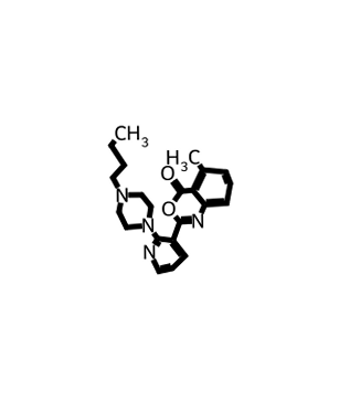 CCCCN1CCN(c2ncccc2-c2nc3cccc(C)c3c(=O)o2)CC1